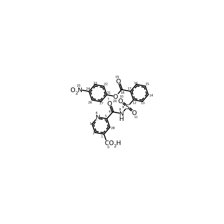 O=C(O)c1ccnc(C(=O)NS(=O)(=O)c2ccccc2C(=O)Oc2ccc([N+](=O)[O-])cc2)c1